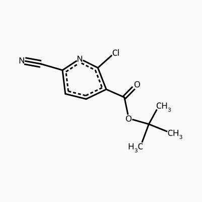 CC(C)(C)OC(=O)c1ccc(C#N)nc1Cl